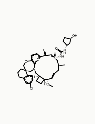 CO[C@H]1/C=C/C[C@H](C)C[S@@](=O)(NC(=O)N[C@@H]2CC[C@@H](O)C2)=NC(=O)c2ccc3c(c2)N(C[C@@H]2CC[C@H]21)C[C@@]1(CCCc2cc(Cl)ccc21)CO3